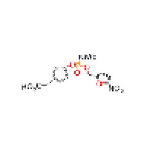 CNP(=O)(OCc1ccc([N+](=O)[O-])o1)Oc1ccc(CC(=O)O)cc1